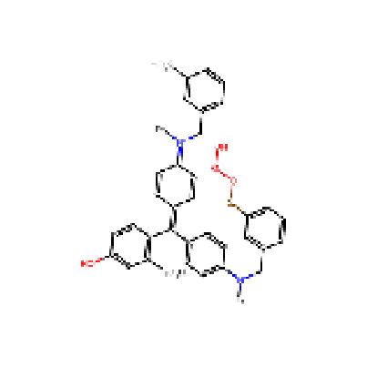 CCN(Cc1cccc(SOOO)c1)c1ccc(C(=C2C=CC(=[N+](CC)Cc3cccc(S(=O)(=O)O)c3)C=C2)c2ccc(O)cc2S(=O)(=O)O)cc1